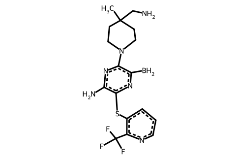 Bc1nc(Sc2cccnc2C(F)(F)F)c(N)nc1N1CCC(C)(CN)CC1